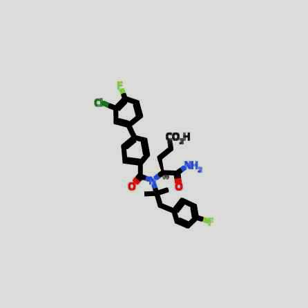 CC(C)(Cc1ccc(F)cc1)N(C(=O)c1ccc(-c2ccc(F)c(Cl)c2)cc1)[C@@H](CCC(=O)O)C(N)=O